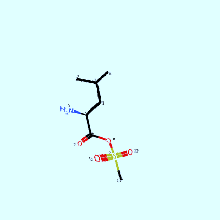 CC(C)C[C@H](N)C(=O)OS(C)(=O)=O